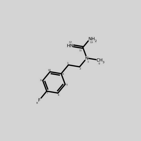 CN(CCc1ccc(F)cc1)C(=N)N